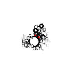 CC[C@H]1OC(=O)[C@H](C)C(=O)[C@H](C)[C@@H](O[C@@H]2O[C@H](C)C[C@H](N(C)C)[C@H]2OC(=O)Cc2ccccc2Nc2c(Cl)cccc2Cl)[C@](C)(O)C[C@@H](C)CN(C)[C@H](C)[C@@H](O)[C@]1(C)O